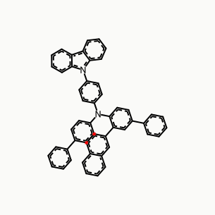 c1ccc(-c2ccc(N(c3ccc(-n4c5ccccc5c5ccccc54)cc3)c3ccc(-c4ccccc4)cc3-c3ccc4ccccc4c3)cc2)cc1